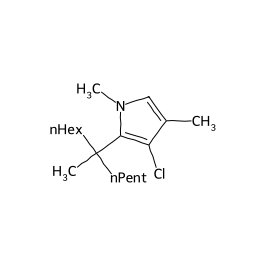 CCCCCCC(C)(CCCCC)c1c(Cl)c(C)cn1C